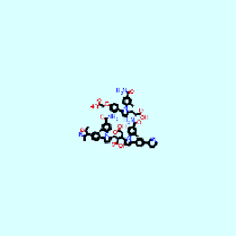 Cc1cc(C(N)=O)ccc1-n1c(CC(C(=O)O)C(CC(=O)O)c2ccc(-c3ccc(-c4cccnc4)cc3)n2-c2ccc(C(N)=O)cc2C)ccc1-c1ccc(-c2c(C)noc2C)cc1.Cc1cc(C(N)=O)ccc1-n1c(CCC(=O)O)ccc1-c1ccc(OCC(=O)O)cc1